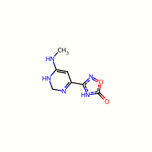 CNC1=CC(c2noc(=O)[nH]2)=NCN1